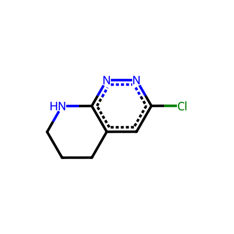 Clc1cc2c(nn1)NCCC2